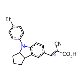 CCc1ccc(N2c3ccc(/C=C(\C#N)C(=O)O)cc3C3CCCC32)cc1